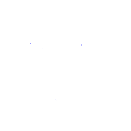 O=C(O)C(F)(F)F.O=C(O)CC(C1=CC2=CNSN2C=C1)c1c[nH]c2cc(OCCCNC3=NCCN3)ccc12